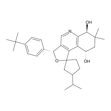 CC(C)C1CCC2(C1)O[C@H](c1ccc(C(C)(C)C)cc1)c1cnc3c(c12)[C@@H](O)CC(C)(C)[C@@H]3O